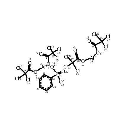 O=C([O][Al+][O]C(=O)C(Cl)(Cl)Cl)C(Cl)(Cl)Cl.O=C([O][Al+][O]C(=O)C(Cl)(Cl)Cl)C(Cl)(Cl)Cl.O=P([O-])([O-])c1ccccc1